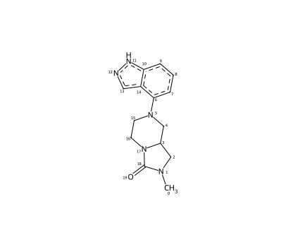 CN1CC2CN(c3cccc4[nH]ncc34)CCN2C1=O